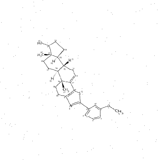 COc1cccc(-c2nc3c(s2)C2=CC[C@@H]4[C@H](CC[C@]5(C)C(O)CC[C@@H]45)[C@@]2(C)CC3)c1